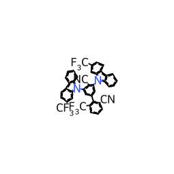 N#Cc1cccc(C(F)(F)F)c1-c1cc(-n2c3ccccc3c3ccc(C(F)(F)F)cc32)c(C#N)c(-n2c3ccccc3c3ccc(C(F)(F)F)cc32)c1